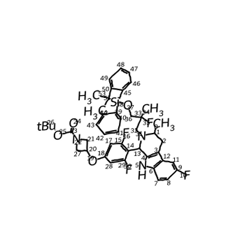 CC1Cc2c([nH]c3ccc(F)cc23)C(c2c(F)cc(OC3CN(C(=O)OC(C)(C)C)C3)cc2F)N1CC(C)(F)CO[Si]1(c2ccccc2)c2ccccc2C1(C)C